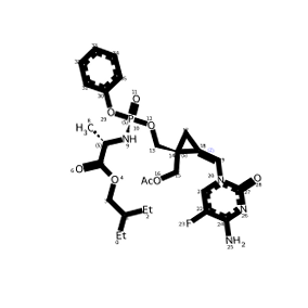 CCC(CC)COC(=O)[C@H](C)N[P@](=O)(OC[C@@]1(COC(C)=O)C/C1=C/n1cc(F)c(N)nc1=O)Oc1ccccc1